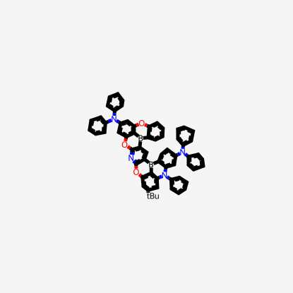 CC(C)(C)c1cc2c3c(c1)N(c1ccccc1)c1cc(N(c4ccccc4)c4ccccc4)ccc1B3c1cc3c(nc1O2)Oc1cc(N(c2ccccc2)c2ccccc2)cc2c1B3c1ccccc1O2